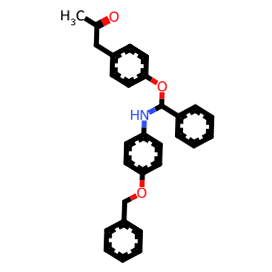 CC(=O)Cc1ccc(OC(Nc2ccc(OCc3ccccc3)cc2)c2ccccc2)cc1